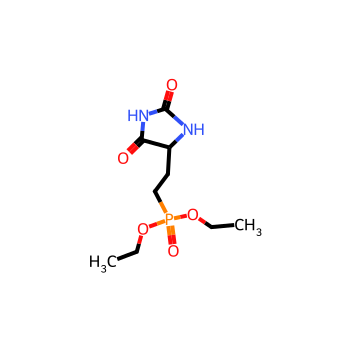 CCOP(=O)(CCC1NC(=O)NC1=O)OCC